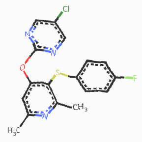 Cc1cc(Oc2ncc(Cl)cn2)c(Sc2ccc(F)cc2)c(C)n1